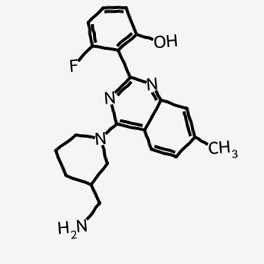 Cc1ccc2c(N3CCCC(CN)C3)nc(-c3c(O)cccc3F)nc2c1